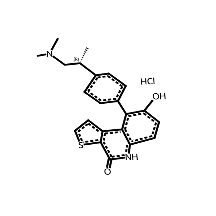 C[C@@H](CN(C)C)c1ccc(-c2c(O)ccc3[nH]c(=O)c4sccc4c23)cc1.Cl